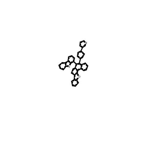 c1cncc(-c2ccc(-c3c(-c4cccc5c4sc4ccccc45)c4ccc5c6ccccc6oc5c4c4ccccc34)cc2)c1